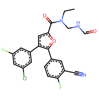 CCN(CNC=O)C(=O)c1cc(-c2cc(F)cc(Cl)c2)c(-c2ccc(F)c(C#N)c2)o1